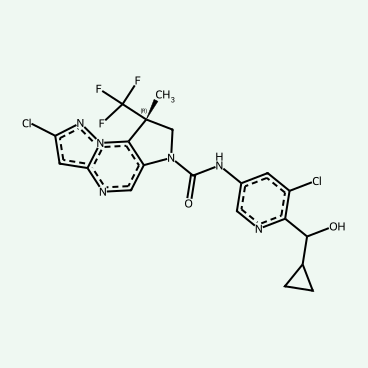 C[C@@]1(C(F)(F)F)CN(C(=O)Nc2cnc(C(O)C3CC3)c(Cl)c2)c2cnc3cc(Cl)nn3c21